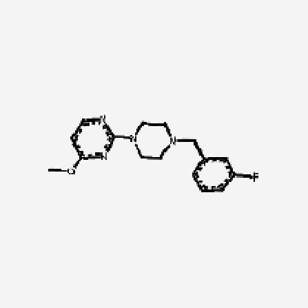 COc1ccnc(N2CCN(Cc3cccc(F)c3)CC2)n1